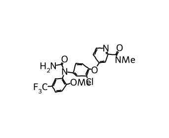 CNC(=O)c1cc(Oc2ccc(N(C(N)=O)c3cc(C(F)(F)F)ccc3OC)cc2Cl)ccn1